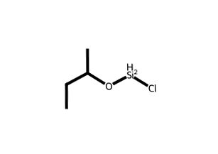 CCC(C)O[SiH2]Cl